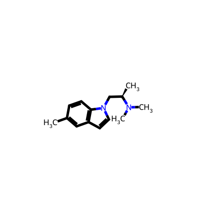 Cc1ccc2c(ccn2C[C@@H](C)N(C)C)c1